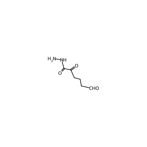 NNC(=O)C(=O)CCCC=O